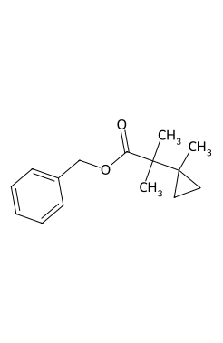 CC1(C(C)(C)C(=O)OCc2ccccc2)CC1